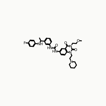 COCCn1c(=O)c2cc(NC(=O)Nc3cccc(C(C)Nc4ccc(F)cc4)c3)ccc2n(CCN2CCCCC2)c1=O